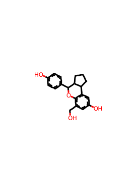 OCc1cc(O)cc2c1OC(c1ccc(O)cc1)C1CCCC21